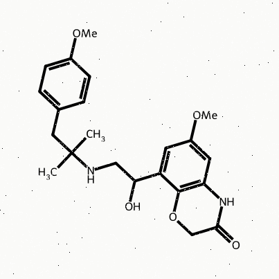 COc1ccc(CC(C)(C)NCC(O)c2cc(OC)cc3c2OCC(=O)N3)cc1